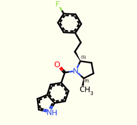 C[C@@H]1CC[C@H](CCc2ccc(F)cc2)N1C(=O)c1ccc2[nH]ccc2c1